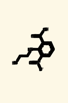 O=C(O)c1cccc([N+](=O)[O-])c1NCCO